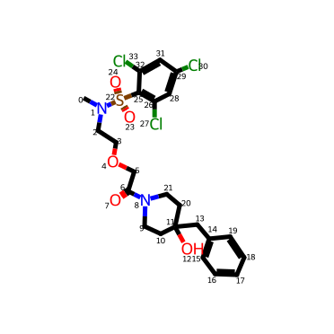 CN(CCOCC(=O)N1CCC(O)(Cc2ccccc2)CC1)S(=O)(=O)c1c(Cl)cc(Cl)cc1Cl